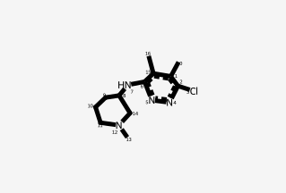 Cc1c(Cl)nnc(NC2CCCN(C)C2)c1C